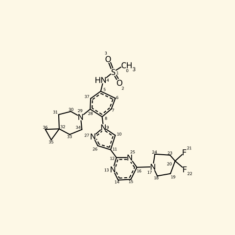 CS(=O)(=O)Nc1ccc(-n2cc(-c3nccc(N4CCC(F)(F)CC4)n3)cn2)c(N2CCC3(CC2)CC3)c1